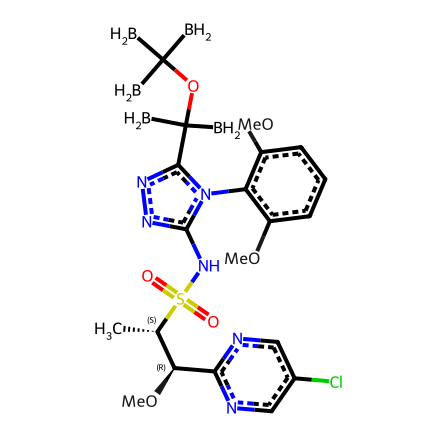 BC(B)(B)OC(B)(B)c1nnc(NS(=O)(=O)[C@@H](C)[C@H](OC)c2ncc(Cl)cn2)n1-c1c(OC)cccc1OC